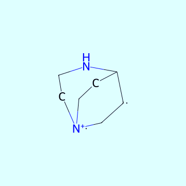 [CH]1C[N+]2CCNC1CC2